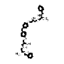 CC(CNCC(O)COc1ccc(Cc2ccc(OCC(O)CNCC(C)NCc3ccccc3)cc2)cc1)NCc1ccccc1